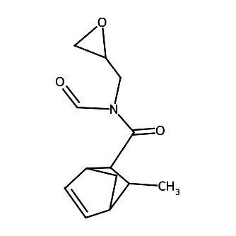 CC1C2C=CC(C2)C1C(=O)N(C=O)CC1CO1